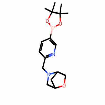 CC1(C)OB(c2ccc(CN3CC4CC3CO4)nc2)OC1(C)C